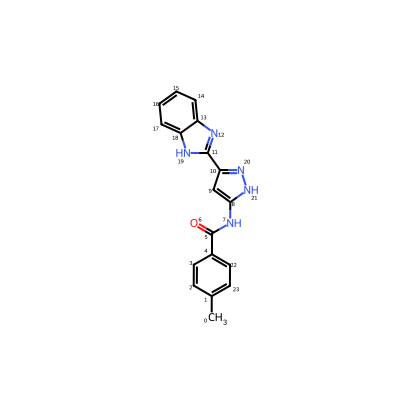 Cc1ccc(C(=O)Nc2cc(-c3nc4ccccc4[nH]3)n[nH]2)cc1